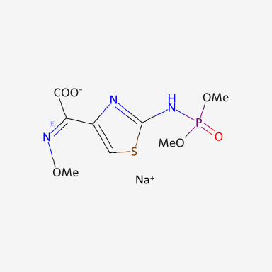 CO/N=C(/C(=O)[O-])c1csc(NP(=O)(OC)OC)n1.[Na+]